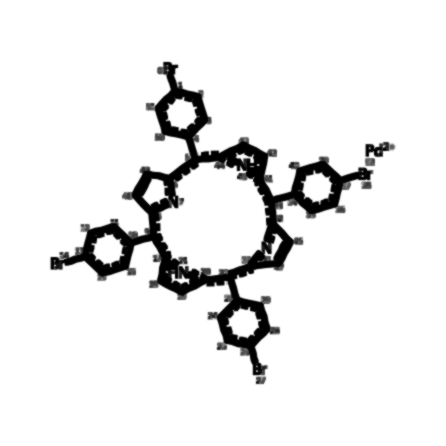 Brc1ccc(-c2c3nc(c(-c4ccc(Br)cc4)c4ccc([nH]4)c(-c4ccc(Br)cc4)c4nc(c(-c5ccc(Br)cc5)c5ccc2[nH]5)C=C4)C=C3)cc1.[Pd+2]